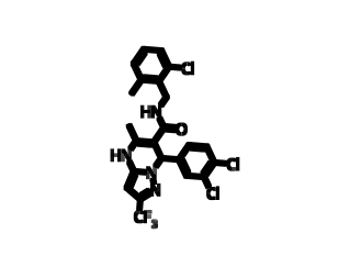 CC1=C(C(=O)NCc2c(C)cccc2Cl)C(c2ccc(Cl)c(Cl)c2)n2nc(C(F)(F)F)cc2N1